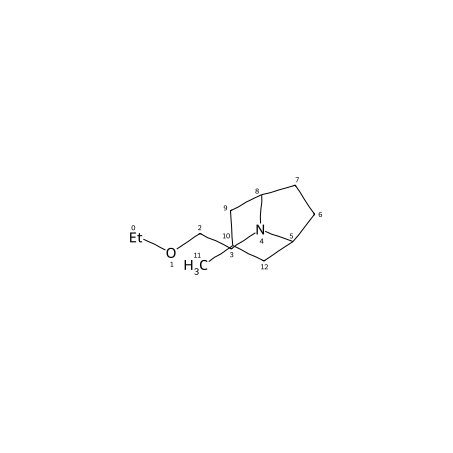 CCOCCN1C2CCC1CC(C)C2